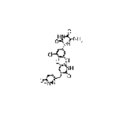 Nc1nn(-c2cc(Cl)c(Oc3cc(Cc4ccc(=O)[nH]n4)c(=O)[nH]n3)c(Cl)c2)c(=O)[nH]c1=O